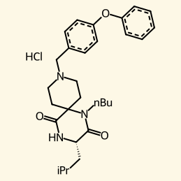 CCCCN1C(=O)[C@H](CC(C)C)NC(=O)C12CCN(Cc1ccc(Oc3ccccc3)cc1)CC2.Cl